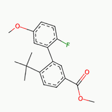 COC(=O)c1ccc(C(C)(C)C)c(-c2cc(OC)ccc2F)c1